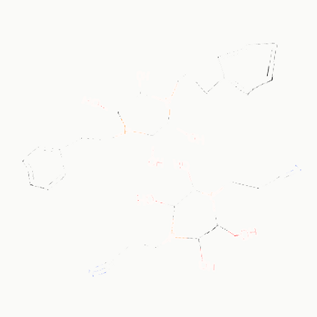 N#CCCP1C(O)C(O)P(CCC#N)C(O)C1O.OC1C(O)P(CCc2ccccc2)C(O)C(O)P1CCc1ccccc1